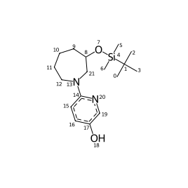 CC(C)(C)[Si](C)(C)OC1CCCCN(c2ccc(O)cn2)C1